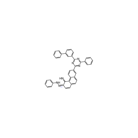 N=C1/C(=N\Nc2ccccc2)C=Cc2ccc3cc(-c4nc(-c5ccccc5)nc(-c5cccc(-c6ccccc6)c5)n4)ccc3c21